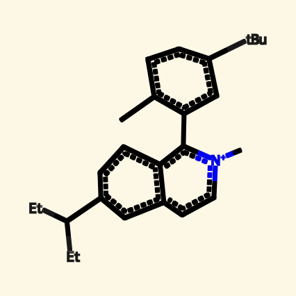 CCC(CC)c1ccc2c(-c3cc(C(C)(C)C)ccc3C)[n+](C)ccc2c1